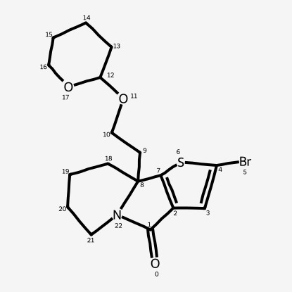 O=C1c2cc(Br)sc2C2(CCOC3CCCCO3)CCCCN12